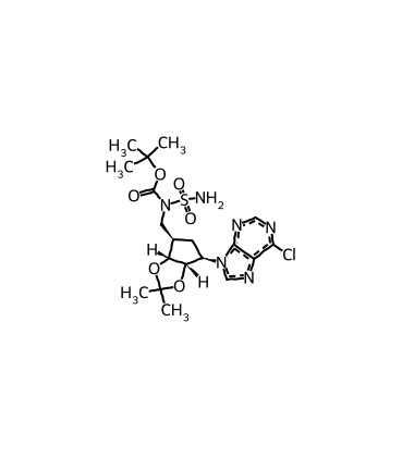 CC(C)(C)OC(=O)N(C[C@H]1C[C@@H](n2cnc3c(Cl)ncnc32)[C@@H]2OC(C)(C)O[C@H]12)S(N)(=O)=O